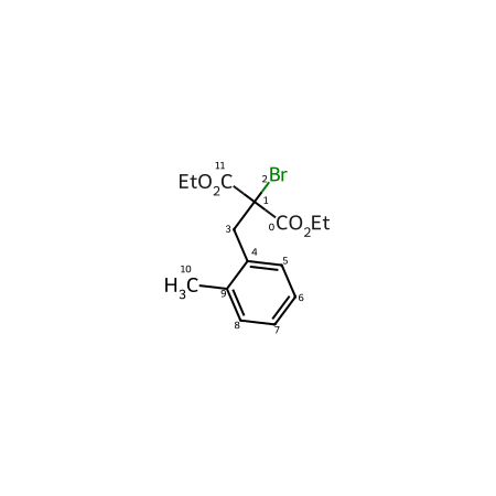 CCOC(=O)C(Br)(Cc1ccccc1C)C(=O)OCC